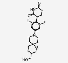 O=C1CCC(c2c(F)cc(N3CCC4(CC[C@@H](CO)CO4)CC3)cc2F)C(=O)N1